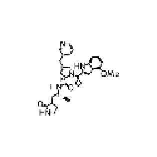 C#C[C@H](CC1CCNC1=O)NC(=O)[C@@H]1C[C@@H](Cc2cccnc2)CN1C(=O)c1cc2c(OC)cccc2[nH]1